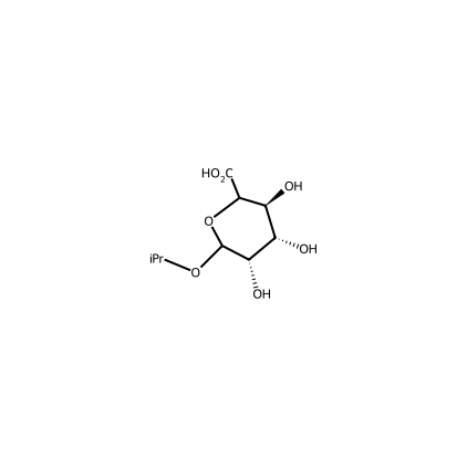 CC(C)OC1OC(C(=O)O)[C@@H](O)[C@H](O)[C@@H]1O